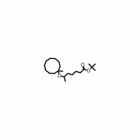 CC(CCCCC(=O)OC(C)(C)C)OC1(C)CCCCCCCCC1